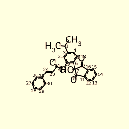 CC(C)c1ccc(C2(O)C(=O)c3ccccc3C2=O)c(OC(=O)/C=C/c2ccccc2)c1